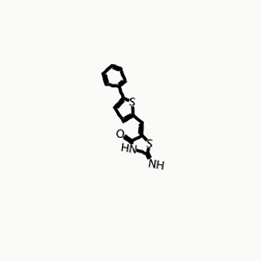 N=C1NC(=O)/C(=C\c2ccc(-c3ccccc3)s2)S1